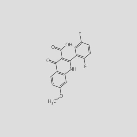 COc1ccc2c(=O)c(C(=O)O)c(-c3cc(F)ccc3F)[nH]c2c1